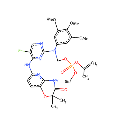 C=C(C)OP(=O)(OCN(c1cc(OC)c(OC)c(OC)c1)c1ncc(F)c(Nc2ccc3c(n2)NC(=O)C(C)(C)O3)n1)OC(C)(C)C